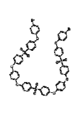 O=S(=O)(c1ccc(Oc2ccc(Br)cc2)cc1)c1ccc(Oc2ccc(Oc3ccc(S(=O)(=O)c4ccc(Oc5ccc(Oc6ccc(S(=O)(=O)c7ccc(Oc8ccc(Br)cc8)cc7)cc6)cc5)cc4)cc3)cc2)cc1